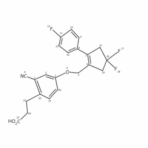 N#Cc1cc(OCC2=C(c3ccc(F)cc3)CC(F)(F)C2)ccc1CCC(=O)O